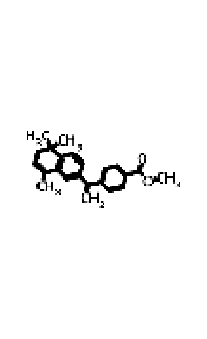 C=C(c1ccc(C(=O)OC)cc1)c1ccc2c(c1)C(C)=CCC2(C)C